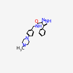 CN1CCN(c2ccc(CNC(=O)c3n[nH]cc3-c3ccccc3)cc2)CC1